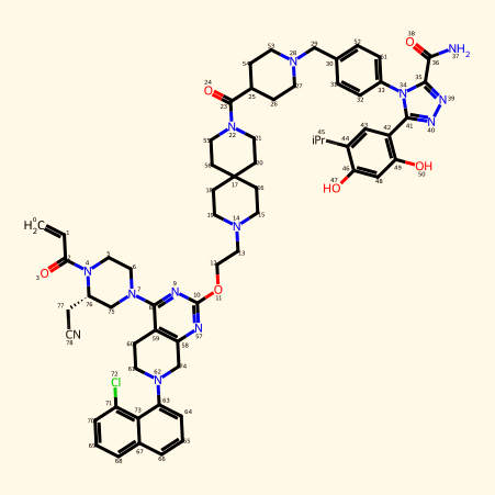 C=CC(=O)N1CCN(c2nc(OCCN3CCC4(CC3)CCN(C(=O)C3CCN(Cc5ccc(-n6c(C(N)=O)nnc6-c6cc(C(C)C)c(O)cc6O)cc5)CC3)CC4)nc3c2CCN(c2cccc4cccc(Cl)c24)C3)C[C@@H]1CC#N